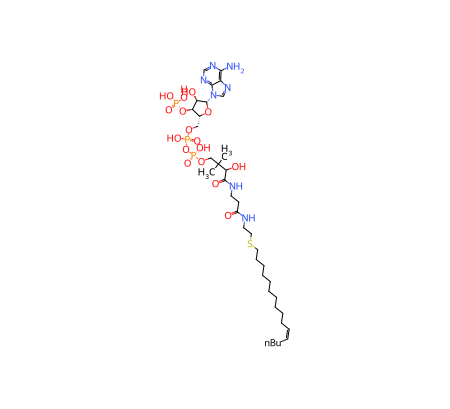 CCCC/C=C\CCCCCCCCCCSCCNC(=O)CCNC(=O)C(O)C(C)(C)COP(=O)(O)OP(=O)(O)OC[C@H]1O[C@@H](n2cnc3c(N)ncnc32)[C@H](O)[C@@H]1OP(=O)(O)O